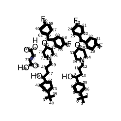 CC(C)(C)c1ccc(C(O)CCCN2CCC(OC(c3ccc(F)cc3)c3ccc(F)cc3)CC2)cc1.CC(C)(C)c1ccc(C(O)CCCN2CCC(OC(c3ccc(F)cc3)c3ccc(F)cc3)CC2)cc1.O=C(O)/C=C/C(=O)O